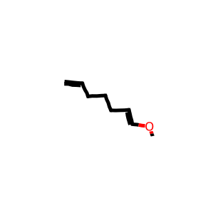 C=CCCCC=COC